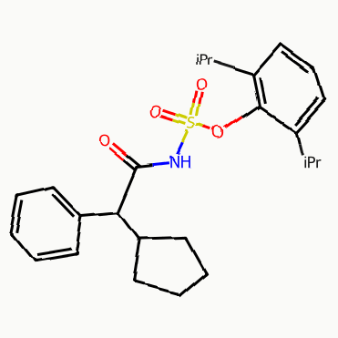 CC(C)c1cccc(C(C)C)c1OS(=O)(=O)NC(=O)C(c1ccccc1)C1CCCC1